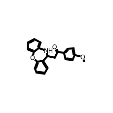 COc1ccc(C(=O)CC2Nc3ccccc3Oc3ccccc32)cc1